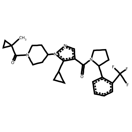 CC1(C(=O)N2CCC(n3ncc(C(=O)N4CCCC4c4ccccc4C(F)(F)F)c3C3CC3)CC2)CC1